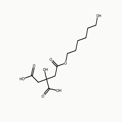 O=C(O)CC(O)(CC(=O)OCCCCCCO)C(=O)O